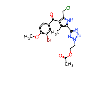 COc1ccc(C(=O)c2c(CCl)[nH]c(-c3nnn(CCOC(C)=O)n3)c2C)cc1Br